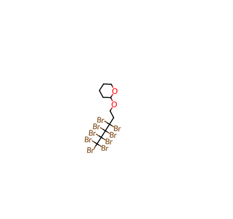 BrC(Br)(Br)C(Br)(Br)C(Br)(Br)C(Br)(Br)CCOC1CCCCO1